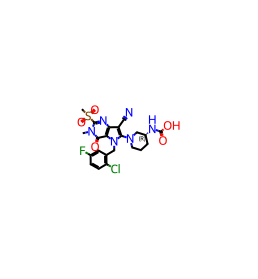 Cn1c(S(C)(=O)=O)nc2c(C#N)c(N3CCC[C@@H](NC(=O)O)C3)n(Cc3cc(F)ccc3Cl)c2c1=O